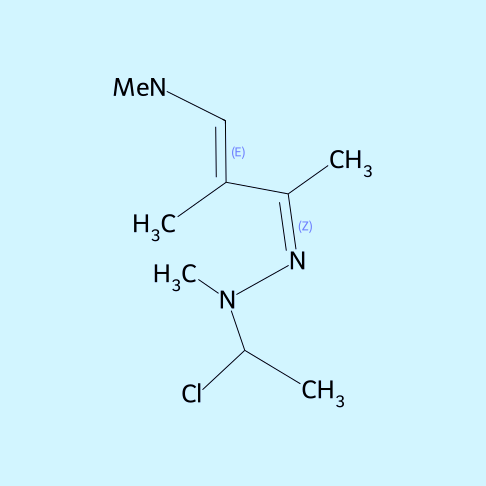 CN/C=C(C)/C(C)=N\N(C)C(C)Cl